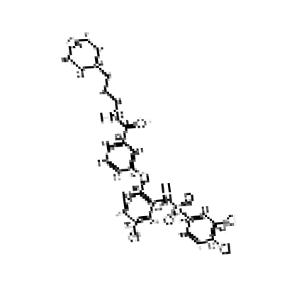 O=C(NCCCC1CCOCC1)c1cccc(Oc2ncc(Cl)cc2NS(=O)(=O)c2ccc(Cl)c(Cl)c2)c1